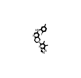 Cc1ccc(F)c(Nc2cnc3c(c2)CN(c2nn4cnnc4c(C)c2C)CC3)c1